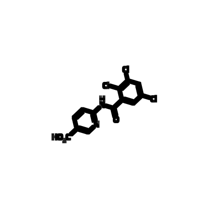 O=C(O)c1ccc(NC(=O)c2cc(Cl)cc(Cl)c2Cl)nc1